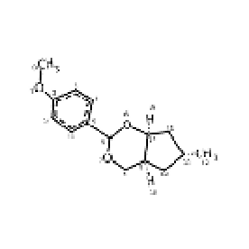 COc1ccc(C2OC[C@@H]3C[C@@H](C)C[C@@H]3O2)cc1